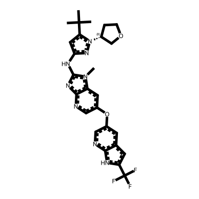 Cn1c(Nc2cc(C(C)(C)C)n([C@@H]3CCOC3)n2)nc2ncc(Oc3cnc4[nH]c(C(F)(F)F)cc4c3)cc21